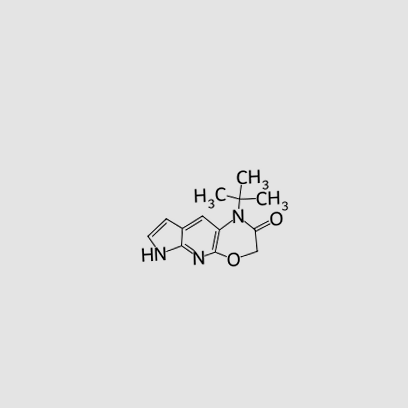 CC(C)(C)N1C(=O)COc2nc3[nH]ccc3cc21